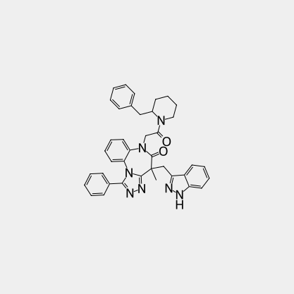 CC1(Cc2n[nH]c3ccccc23)C(=O)N(CC(=O)N2CCCCC2Cc2ccccc2)c2ccccc2-n2c(-c3ccccc3)nnc21